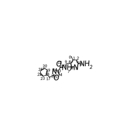 Cc1cc(N)nc(C)c1CNC(=O)c1coc(Cc2ccccc2)n1